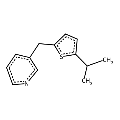 CC(C)c1ccc(Cc2cccnc2)s1